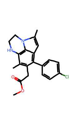 COC(=O)Cc1c(C)c2c3c(cc(C)n3CCN2)c1-c1ccc(Cl)cc1